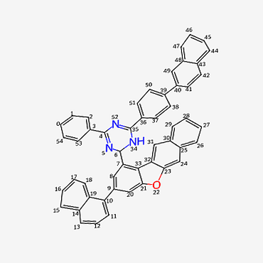 c1ccc(C2=NC(c3cc(-c4cccc5ccccc45)cc4oc5cc6ccccc6cc5c34)NC(c3ccc(-c4ccc5ccccc5c4)cc3)=N2)cc1